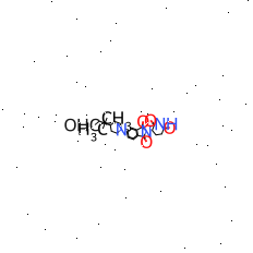 CC(C)(CC=O)C1CCN(c2ccc3c(c2)C(=O)N(C2CCC(=O)NC2=O)C3=O)CC1